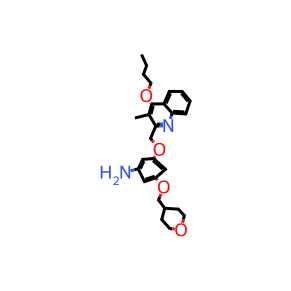 CCCCOc1c(C)c(COc2cc(N)cc(OCC3CCOCC3)c2)nc2ccccc12